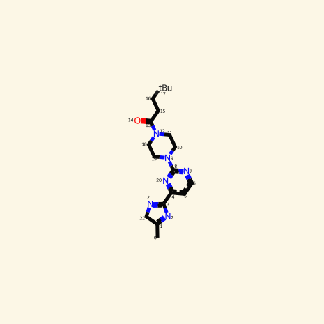 CC1=NC(c2ccnc(N3CCN(C(=O)CCC(C)(C)C)CC3)n2)=NC1